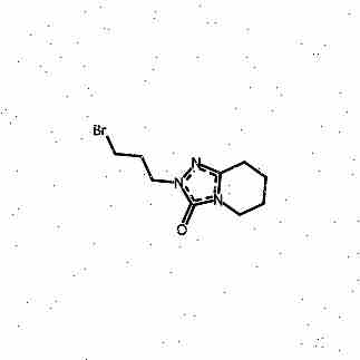 O=c1n(CCCBr)nc2n1CCCC2